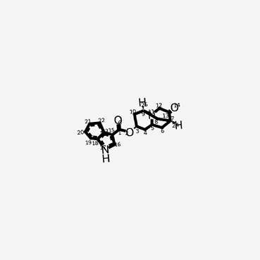 O=C(O[C@H]1CC2C[C@@H]3C[C@@H](C1)N2CC3=O)c1c[nH]c2ccccc12